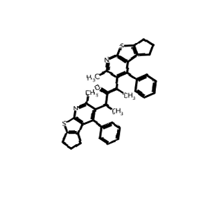 Cc1nc2sc3c(c2c(-c2ccccc2)c1C(C)C(=O)C(C)c1c(C)nc2sc4c(c2c1-c1ccccc1)CCC4)CCC3